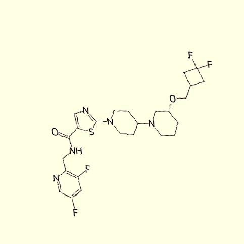 O=C(NCc1ncc(F)cc1F)c1cnc(N2CCC(N3CCC[C@@H](OCC4CC(F)(F)C4)C3)CC2)s1